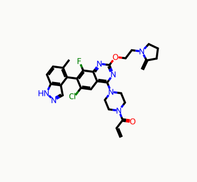 C=CC(=O)N1CCN(c2nc(OCCN3CCCC3=C)nc3c(F)c(-c4c(C)ccc5[nH]ncc45)c(Cl)cc23)CC1